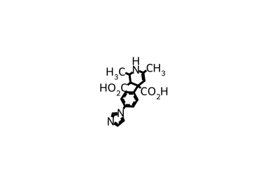 CC1=CC(C(=O)O)(c2ccc(-n3ccnc3)cc2)C(C(=O)O)C(C)N1